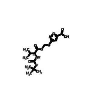 CC(C)[C@H](NC(=O)OC(C)(C)C)C(=O)OCOc1cc(C(=O)O)on1